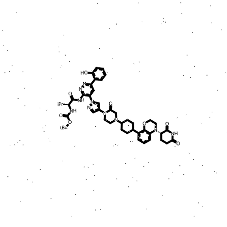 CC(C)[C@H](NC(=O)OC(C)(C)C)C(=O)Nc1nnc(-c2ccccc2O)cc1-n1cc(N2CCN(C3CCC(c4cccc5c4OCCN5[C@H]4CCC(=O)NC4=O)CC3)CC2=O)cn1